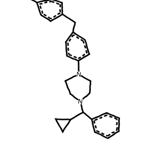 Fc1ccc(Cc2ccc(N3CCN(C(c4ccccc4)C4CC4)CC3)cc2)cc1